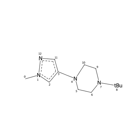 Cn1cc(N2CCN(C(C)(C)C)CC2)cn1